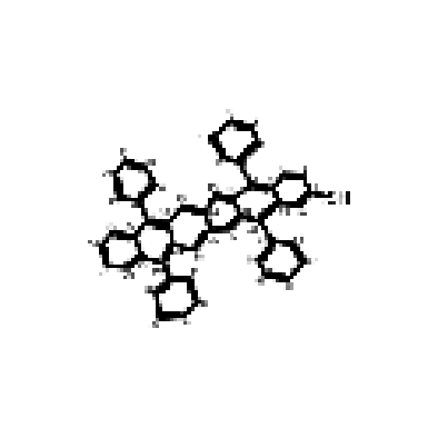 Sc1ccc2c(-c3ccccc3)c3cc4cc5c(-c6ccccc6)c6ccccc6c(-c6ccccc6)c5cc4cc3c(-c3ccccc3)c2c1